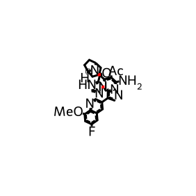 COc1cc(F)cc2cc(-c3cnn4c(N)c(C(C)=O)c(C5CC6CC[C@H](C5)N6C(=O)c5nnc[nH]5)nc34)cnc12